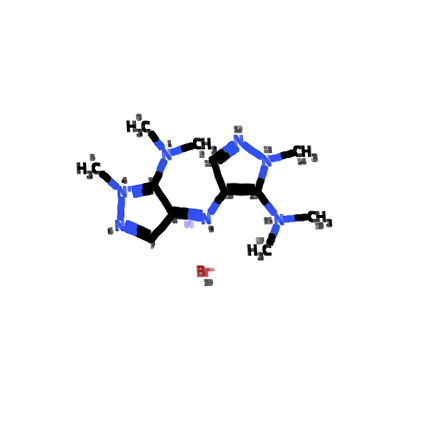 CN(C)C1=[N+](C)N=C/C1=N/c1cnn(C)c1N(C)C.[Br-]